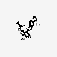 CNc1ncc(-c2nc3cc([C@@]4(C)CCCO4)ccc3o2)c2cc(NC(=O)C3CC3)ncc12